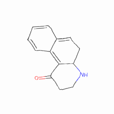 O=C1CCNC2CC=c3ccccc3=C12